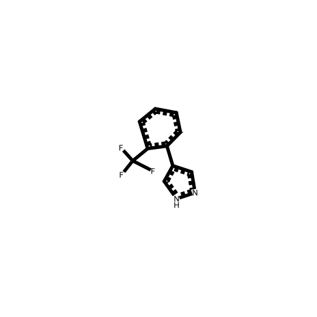 FC(F)(F)c1ccc[c]c1-c1cn[nH]c1